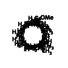 C/C=C/C[C@@H](C)[C@@H](O)[C@H]1C(=O)N[C@@H](CC)C(=O)N(C)[C@H](C)C(=O)N(C)[C@@H]([C@H](C)CN(C)CCOC)C(=O)N[C@@H](C(C)C)C(=O)N(C)[C@@H](CC(C)C)C(=O)N[C@@H](C)C(=O)N[C@H](C)C(=O)N(C)[C@@H](CC(C)C)C(=O)N(C)[C@@H](CC(C)C)C(=O)N(C)[C@@H](C(C)C)C(=O)N1C